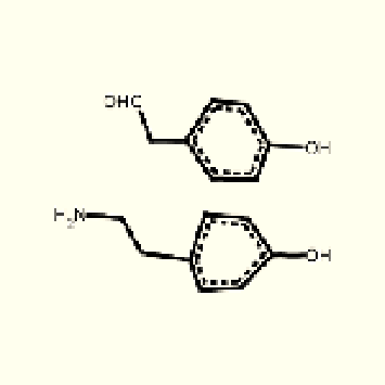 NCCc1ccc(O)cc1.O=CCc1ccc(O)cc1